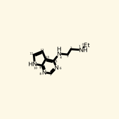 CCNCCNc1ncnc2[nH]ccc12